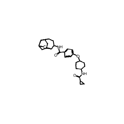 O=C(NC1CCC2CC3CC(C2)C1C3)c1ccc(OC2CCC(NC(=O)C3CC3)CC2)cc1